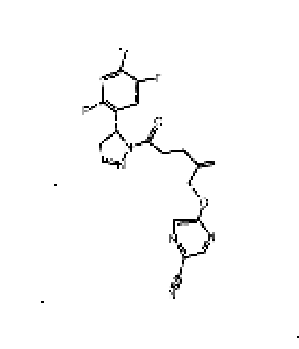 C=C(CCC(=O)N1N=CCC1c1cc(F)c(C)cc1F)COc1cnc(C#N)cn1